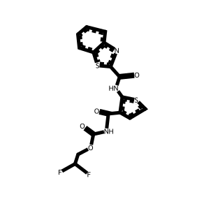 O=C(NC(=O)c1ccsc1NC(=O)c1nc2ccccc2s1)OCC(F)F